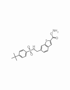 CC(C)(C)c1ccc(S(=O)(=O)NCc2ccc3cc(C(=O)ON)sc3c2)cc1